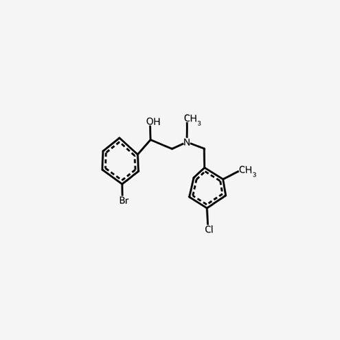 Cc1cc(Cl)ccc1CN(C)CC(O)c1cccc(Br)c1